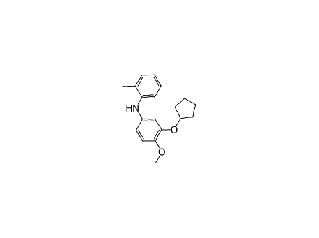 COc1ccc(Nc2ccccc2C)cc1OC1CCCC1